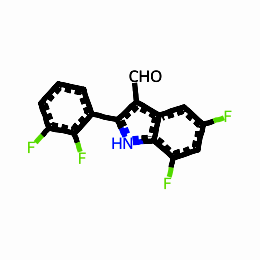 O=Cc1c(-c2cccc(F)c2F)[nH]c2c(F)cc(F)cc12